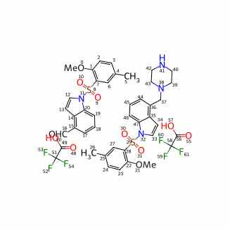 COc1ccc(C)cc1S(=O)(=O)n1ccc2c(C=O)cccc21.COc1ccc(C)cc1S(=O)(=O)n1ccc2c(CN3CCNCC3)cccc21.O=C(O)C(F)(F)F.O=C(O)C(F)(F)F